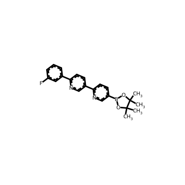 CC1(C)OB(c2ccc(-c3ccc(-c4cccc(F)c4)nc3)nc2)OC1(C)C